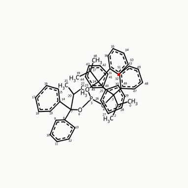 CC(C)C(OP(OC(c1ccccc1)(c1ccccc1)C(C)C)OC(c1ccccc1)(c1ccccc1)C(C)C)(c1ccccc1)c1ccccc1